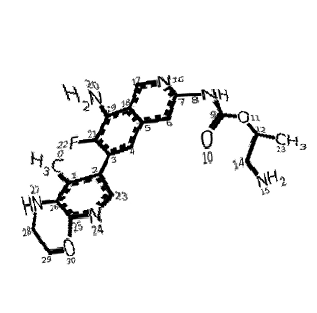 Cc1c(-c2cc3cc(NC(=O)OC(C)CN)ncc3c(N)c2F)cnc2c1NCCO2